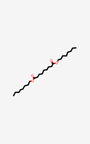 CCCCCCCCOC(=O)CCCCCCCC(=O)OCCCCCCCC